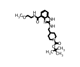 COCCNC(=O)c1cccc2[nH]c(NCC3CCN(C(=O)OC(C)(C)C)CC3)nc12